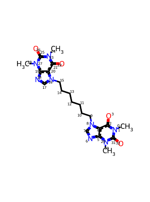 Cn1c(=O)c2c(ncn2CCCCCCCn2cnc3c2c(=O)n(C)c(=O)n3C)n(C)c1=O